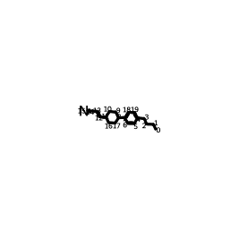 CCCCc1ccc(C2CCC(C=CC#N)CC2)cc1